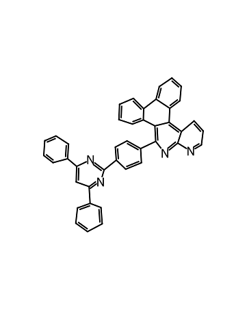 c1ccc(-c2cc(-c3ccccc3)nc(-c3ccc(-c4nc5ncccc5c5c6ccccc6c6ccccc6c45)cc3)n2)cc1